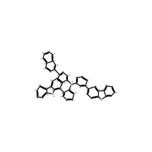 c1cc(-c2ccc3sc4ccccc4c3c2)cc(N(c2ccc(-c3ccc4ccccc4c3)cc2)c2ccccc2-c2cccc3c2oc2ccccc23)c1